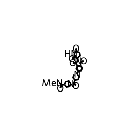 CNC(=O)C1CCN(C(=O)C2CCN(c3ccc4c(c3)C(=O)N(C3CCC(=O)NC3=O)C4=O)CC2)CC1